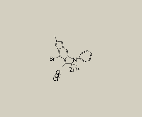 CC1=Cc2c(Br)c3c(cc2=C1)N(c1ccccc1)[C](C)([Zr+3])C=3C.[Cl-].[Cl-].[Cl-]